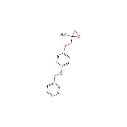 CC1(COc2ccc(OCc3ccccc3)cc2)CO1